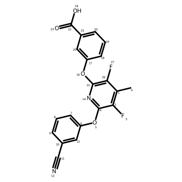 Cc1c(F)c(Oc2cccc(C#N)c2)nc(Oc2cccc(C(=O)O)c2)c1F